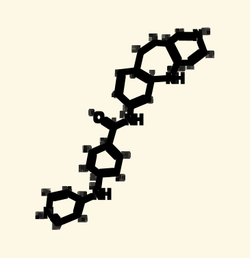 O=C(Nc1ccc2c(c1)Nc1ccncc1CC2)c1ccc(Nc2ccncc2)cc1